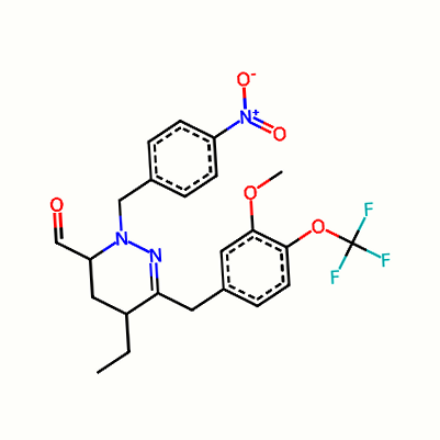 CCC1CC(C=O)N(Cc2ccc([N+](=O)[O-])cc2)N=C1Cc1ccc(OC(F)(F)F)c(OC)c1